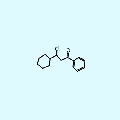 O=C(CC(Cl)C1CCCCC1)c1ccccc1